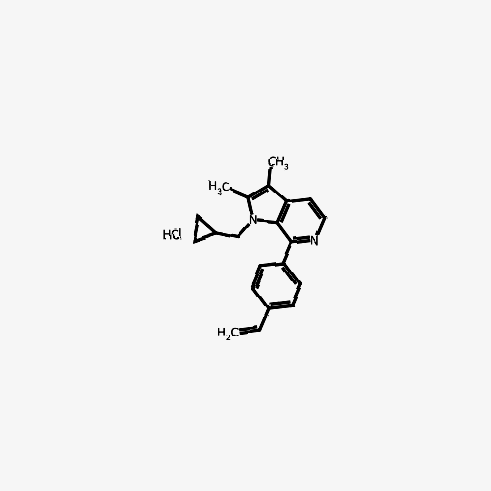 C=Cc1ccc(-c2nccc3c(C)c(C)n(CC4CC4)c23)cc1.Cl